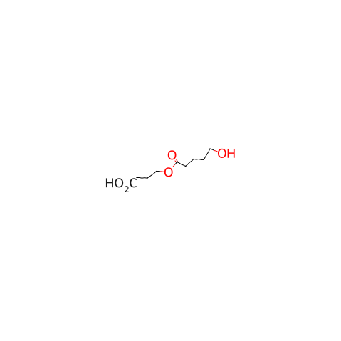 O=C(O)CCCOC(=O)CCCCO